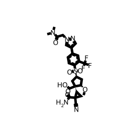 CO[C@@H]1C[C@H](S(=O)(=O)c2ccc(-c3cnn(CC(=O)N(C)C)c3)cc2C(F)(F)F)C[C@@]1(C(=O)O)C1CC1(C#N)C(N)=O